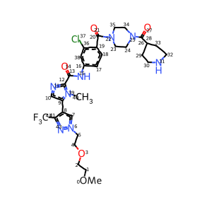 COCCOCCn1cc(-c2cnc(C(=O)Nc3ccc(C(=O)N4CCN(C(=O)C5CCNCC5)CC4)c(Cl)c3)n2C)c(C(F)(F)F)n1